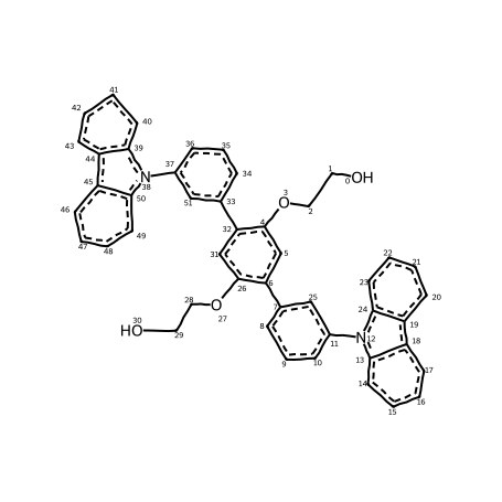 OCCOc1cc(-c2cccc(-n3c4ccccc4c4ccccc43)c2)c(OCCO)cc1-c1cccc(-n2c3ccccc3c3ccccc32)c1